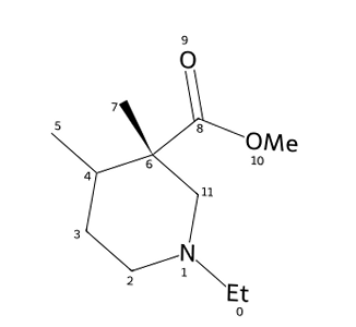 CCN1CCC(C)[C@](C)(C(=O)OC)C1